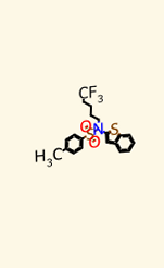 Cc1ccc(S(=O)(=O)N(CCCCC(F)(F)F)c2cc3ccccc3s2)cc1